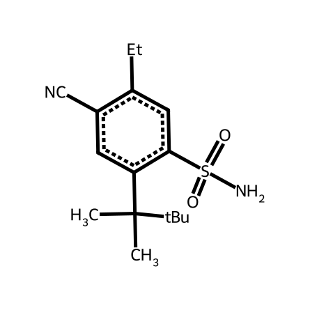 CCc1cc(S(N)(=O)=O)c(C(C)(C)C(C)(C)C)cc1C#N